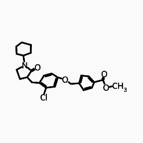 COC(=O)c1ccc(COc2ccc(CC3CCN(C4CCCCC4)C3=O)c(Cl)c2)cc1